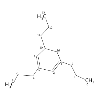 CCCC1=CC(CCC)=CC(CCC)[CH]1